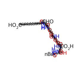 CCCCNC(=O)CC[C@@H](CO)NC(=O)CC[C@H](NC(=O)COCCOCCNC(=O)COCCOCCNC(=O)CC[C@@H](C=O)NC(=O)CCCCCCCCCCCCCCCCC(=O)O)C(=O)O